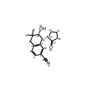 CC1(C)Cc2ccc(C#N)cc2[C@@H](N2CCCC2=O)[C@@H]1O